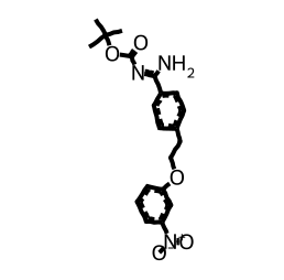 CC(C)(C)OC(=O)N=C(N)c1ccc(CCOc2cccc([N+](=O)[O-])c2)cc1